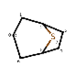 [C]1CC2CCC(C1)S2